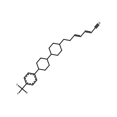 N#CC=CC=CCCC1CCC(C2CCC(c3ccc(C(F)(F)F)cc3)CC2)CC1